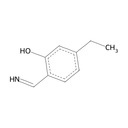 CCc1ccc(C=N)c(O)c1